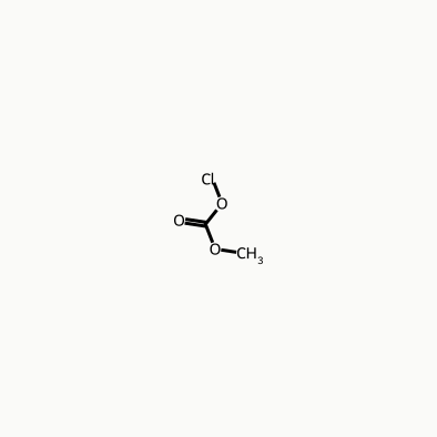 COC(=O)OCl